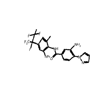 CCCc1cc(C(F)(C(C)(F)F)C(F)(F)F)cc(C)c1NC(=O)c1ccc(-n2cccn2)c(N)c1